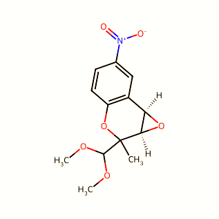 COC(OC)C1(C)Oc2ccc([N+](=O)[O-])cc2[C@H]2O[C@H]21